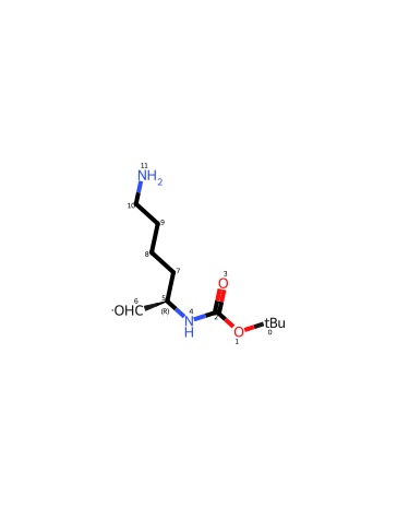 CC(C)(C)OC(=O)N[C@@H]([C]=O)CCCCN